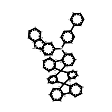 c1ccc(-c2ccc(N(c3ccc4oc5ccccc5c4c3)c3cccc4c3-c3ccccc3C43c4ccccc4C4(c5ccccc5-c5ccccc54)c4ccccc43)cc2)cc1